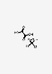 CCC(CC)(CC)NC.O=C(O)C(=O)O